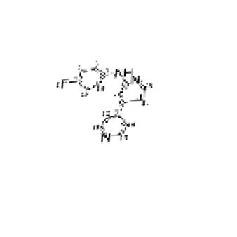 Fc1ccc(Nc2cc(-c3c[c]ncc3)ccn2)cc1